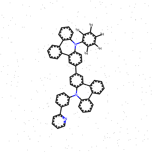 [2H]c1c([2H])c([2H])c(N2c3ccccc3-c3ccccc3-c3cc(-c4ccc5c(c4)-c4ccccc4-c4ccccc4N5c4cccc(-c5ccccn5)c4)ccc32)c([2H])c1[2H]